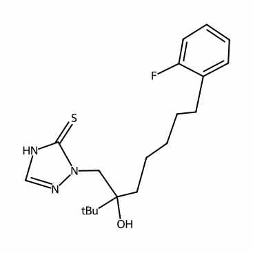 CC(C)(C)C(O)(CCCCCc1ccccc1F)Cn1nc[nH]c1=S